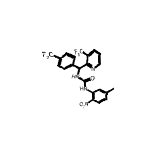 Cc1ccc([N+](=O)[O-])c(NC(=O)NC(c2ccc(C(F)(F)F)cc2)c2ncccc2C(F)(F)F)c1